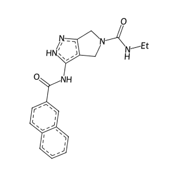 CCNC(=O)N1Cc2n[nH]c(NC(=O)c3ccc4ccccc4c3)c2C1